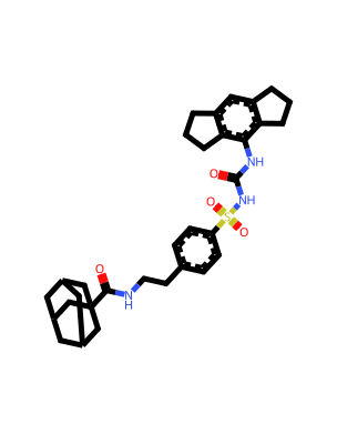 O=C(Nc1c2c(cc3c1CCC3)CCC2)NS(=O)(=O)c1ccc(CCNC(=O)C23CC4CC(CC(C4)C2)C3)cc1